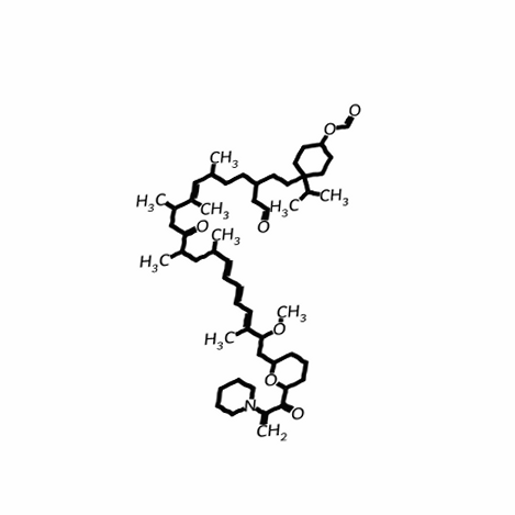 C=C(C(=O)C1CCCC(CC(OC)/C(C)=C/C=C/C=C/C(C)CC(C)C(=O)CC(C)/C(C)=C/C(C)CCC(CC=O)CCC2(C(C)C)CCC(OC=O)CC2)O1)N1CCCCC1